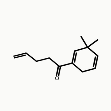 C=CCCC(=O)C1=CC(C)(C)C=CC1